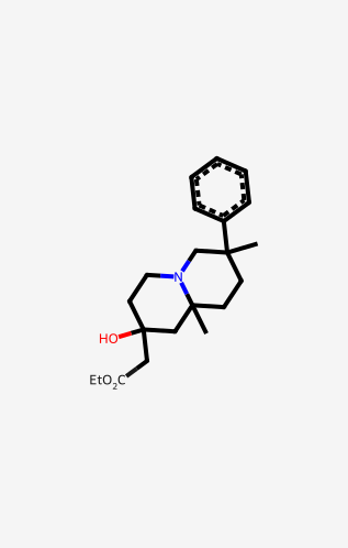 CCOC(=O)CC1(O)CCN2CC(C)(c3ccccc3)CCC2(C)C1